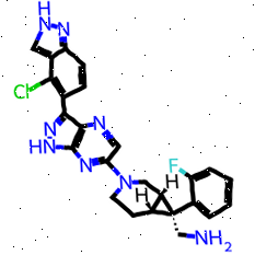 NC[C@]1(c2ccccc2F)[C@@H]2CCN(c3cnc4c(-c5ccc6n[nH]cc6c5Cl)n[nH]c4n3)C[C@@H]21